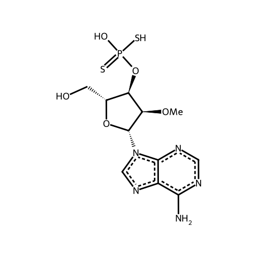 CO[C@@H]1[C@H](OP(O)(=S)S)[C@@H](CO)O[C@H]1n1cnc2c(N)ncnc21